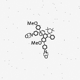 COc1ccc(C2(c3ccc(N4CCOCC4)cc3)C=Cc3c4c(c5cc(-c6ccc(N7CCOCC7)cc6)c(OC)cc5c3O2)-c2ccccc2C42CC(C)(C)CC(C)(C)C2)cc1